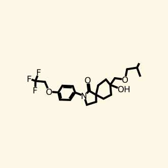 CC(C)COCC1(O)CCC2(CCN(c3ccc(OCC(F)(F)F)cc3)C2=O)CC1